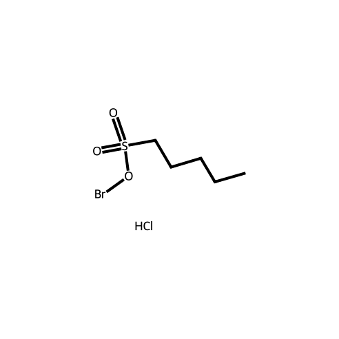 CCCCCS(=O)(=O)OBr.Cl